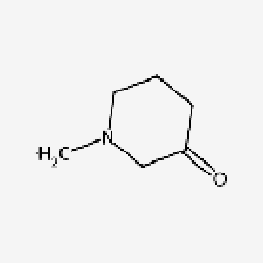 [CH2]N1CCCC(=O)C1